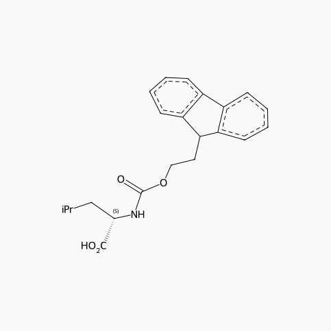 CC(C)C[C@H](NC(=O)OCCC1c2ccccc2-c2ccccc21)C(=O)O